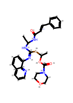 CC(NC(=O)/C=C/c1ccccc1)N/C(=N\c1cccc2cccnc12)SC(C)OC(=O)N1CCOCC1